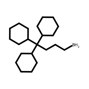 BCCCC(C1CCCCC1)(C1CCCCC1)C1CCCCC1